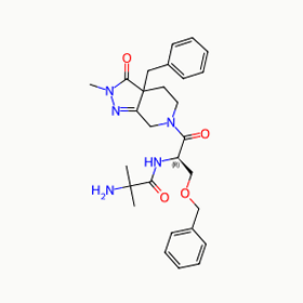 CN1N=C2CN(C(=O)[C@@H](COCc3ccccc3)NC(=O)C(C)(C)N)CCC2(Cc2ccccc2)C1=O